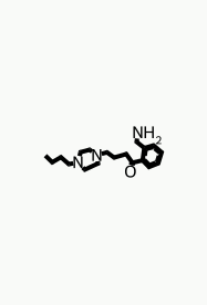 CCCCN1CCN(CCCC(=O)c2ccccc2CN)CC1